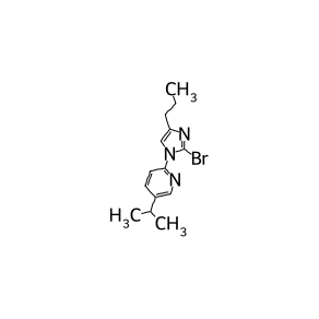 CCCc1cn(-c2ccc(C(C)C)cn2)c(Br)n1